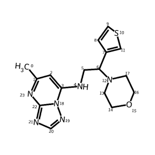 Cc1cc(NCC(c2ccsc2)N2CCOCC2)n2ncnc2n1